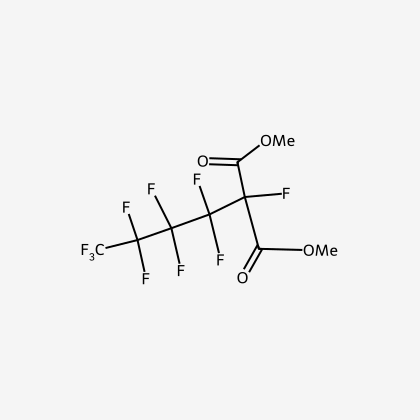 COC(=O)C(F)(C(=O)OC)C(F)(F)C(F)(F)C(F)(F)C(F)(F)F